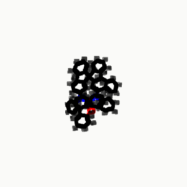 c1ccc(N(c2ccccc2)c2ccc3c(c2)C2(c4ccccc4-3)c3ccccc3-c3c2cc(N(c2ccccc2)c2cccc4c2oc2ccccc24)c2ccccc32)cc1